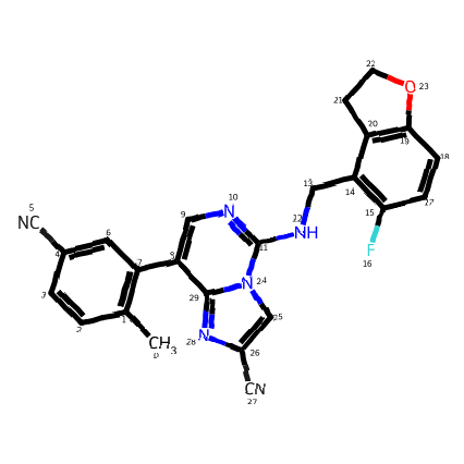 Cc1ccc(C#N)cc1-c1cnc(NCc2c(F)ccc3c2CCO3)n2cc(C#N)nc12